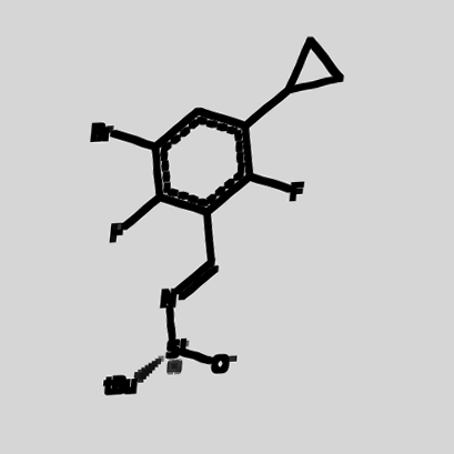 CC(C)(C)[S@@+]([O-])N=Cc1c(F)c(Br)cc(C2CC2)c1F